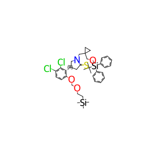 CC(C)(C)[Si](OCC1(CN2C[C@@H](c3c(OCOCC[Si](C)(C)C)ccc(Cl)c3Cl)CC2=S)CC1)(c1ccccc1)c1ccccc1